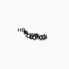 C[C@@]12CC=C3C=C4CCC(N5CC(O)C5)C[C@]45CC[C@]3(O5)[C@@H]1CCC2c1ccc2ccncc2c1